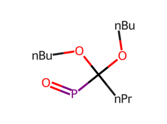 [CH2]CCC(OCCCC)(OCCCC)P=O